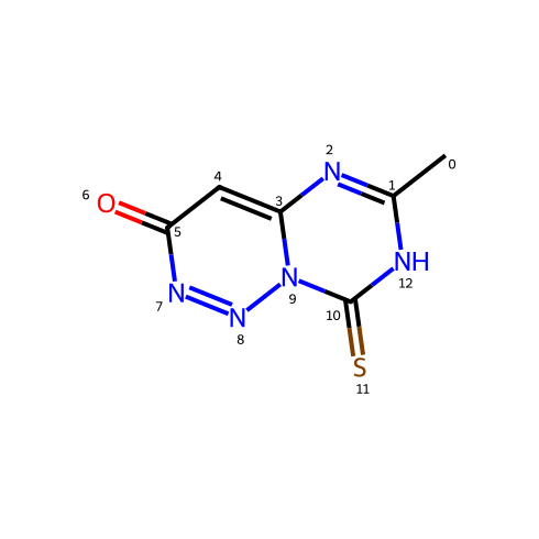 Cc1nc2cc(=O)nnn2c(=S)[nH]1